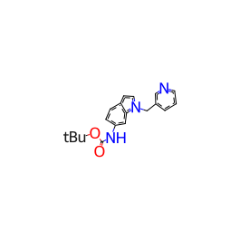 CC(C)(C)OC(=O)Nc1ccc2ccn(Cc3cccnc3)c2c1